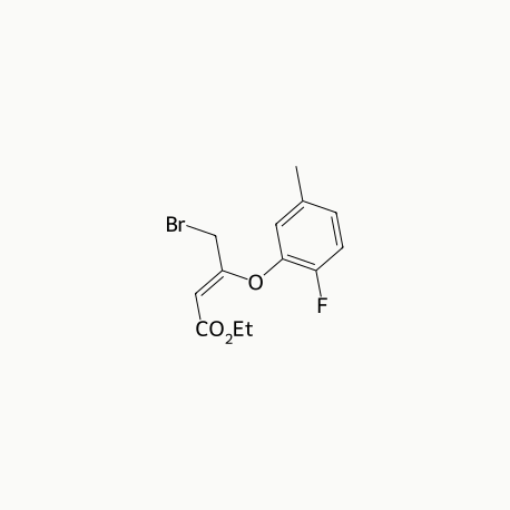 CCOC(=O)/C=C(/CBr)Oc1cc(C)ccc1F